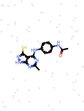 CC(=O)Nc1ccc(Nc2nc(C)nc3[nH]nc(S)c23)cc1